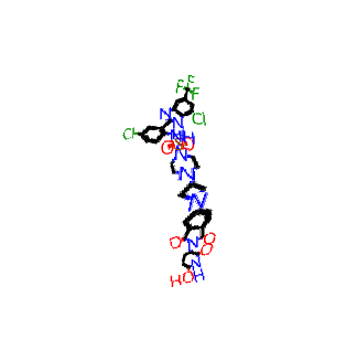 O=C1NC(O)CCC1N1C(=O)c2ccc(N3CC(N4CCN(S(=O)(=O)Nc5ccc(Cl)cc5-c5nc6cc(C(F)(F)F)cc(Cl)c6[nH]5)CC4)C3)cc2C1=O